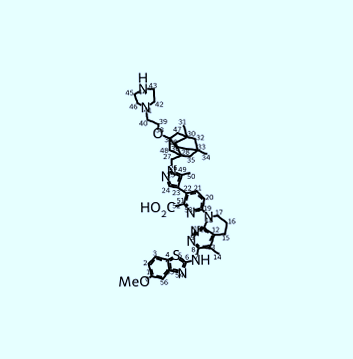 COc1ccc2sc(Nc3nnc4c(c3C)CCCN4c3ccc(-c4cnn(CC56CC7(C)CC(C)(C5)CC(OCCN5CCNCC5)(C7)C6)c4C)c(C(=O)O)n3)nc2c1